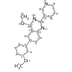 COc1cccc(-c2ccc3nc(-c4cccnc4)nc(OC)c3c2)c1